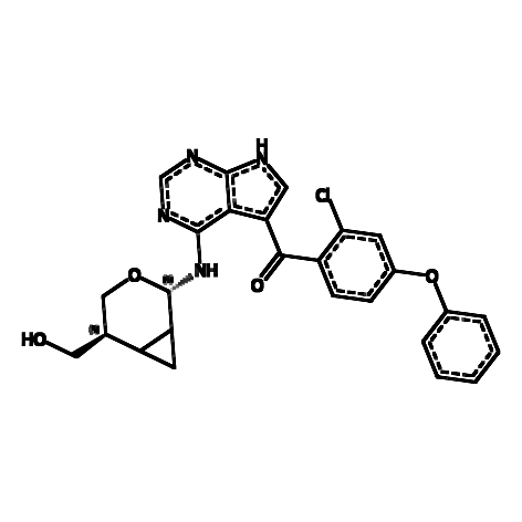 O=C(c1ccc(Oc2ccccc2)cc1Cl)c1c[nH]c2ncnc(N[C@H]3OC[C@H](CO)C4CC43)c12